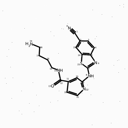 N#Cc1ccc2nc(Nc3cc(C(=O)NCCCCN)ccn3)sc2c1